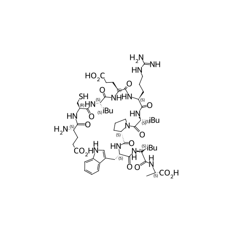 CC[C@H](C)[C@H](NC(=O)[C@H](Cc1c[nH]c2ccccc12)NC(=O)[C@@H]1CCCN1C(=O)[C@@H](NC(=O)[C@H](CCCNC(=N)N)NC(=O)[C@H](CCC(=O)O)NC(=O)[C@@H](NC(=O)[C@H](CS)NC(=O)[C@@H](N)CCC(=O)O)[C@@H](C)CC)[C@@H](C)CC)C(=O)N[C@@H](C)C(=O)O